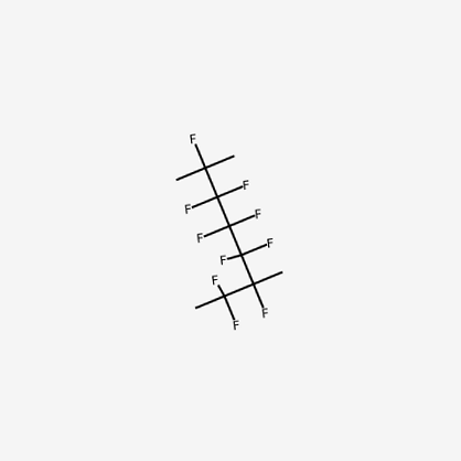 CC(C)(F)C(F)(F)C(F)(F)C(F)(F)C(C)(F)C(C)(F)F